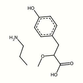 CCCN.COC(Cc1ccc(O)cc1)C(=O)O